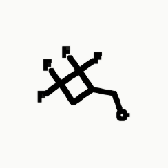 [O]CC1CC(F)(F)C1(F)F